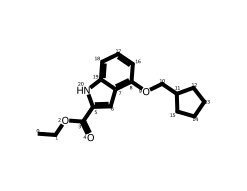 CCOC(=O)c1cc2c(OCC3CCCC3)cccc2[nH]1